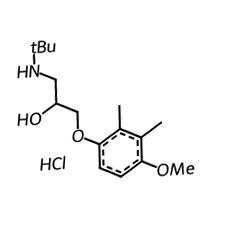 COc1ccc(OCC(O)CNC(C)(C)C)c(C)c1C.Cl